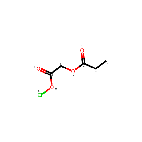 CCC(=O)OCC(=O)OCl